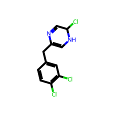 Clc1ccc(CC2=CNC(Cl)C=N2)cc1Cl